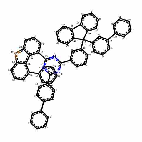 c1ccc(-c2ccc(-c3nc(-c4cccc(C5(c6cccc(-c7ccccc7)c6)c6ccccc6-c6ccccc65)c4)nc(-c4cccc5sc6cccc(-c7ccccc7)c6c45)n3)cc2)cc1